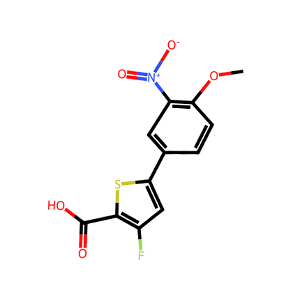 COc1ccc(-c2cc(F)c(C(=O)O)s2)cc1[N+](=O)[O-]